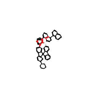 c1ccc(-c2ccccc2N(c2ccc(-c3cccc4ccccc34)cc2)c2ccc3c(c2)C2(c4ccccc4-3)c3cc(C4CCCCC4)ccc3-c3ccc(C4CCCCC4)cc32)cc1